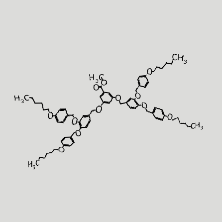 CCCCCCOc1ccc(COc2ccc(COc3cc(OCc4ccc(OCc5ccc(OCCCCCC)cc5)c(OCc5ccc(OCCCCCC)cc5)c4)cc(C(=O)OC)c3)cc2OCc2ccc(OCCCCCC)cc2)cc1